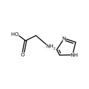 NCC(=O)O.c1c[nH]cn1